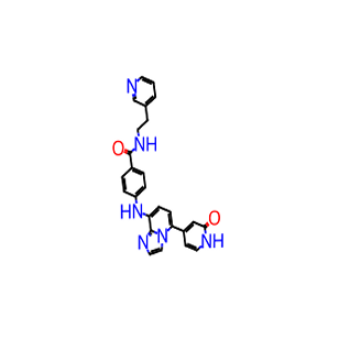 O=C(NCCc1cccnc1)c1ccc(Nc2ccc(-c3cc[nH]c(=O)c3)n3ccnc23)cc1